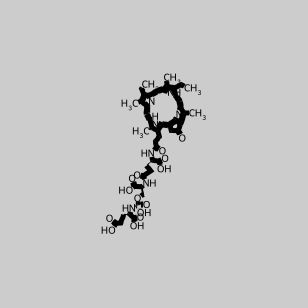 C=CC1=C(C)c2cc3[nH]c(c4c5nc(cc6[nH]c(cc1n2)c(C)c6CC)C(C)=C5C(=O)C4)C(CCC(=O)N[C@@H](CCC(=O)N[C@@H](COP(=O)(O)N[C@@H](CCC(=O)O)C(=O)O)C(=O)O)C(=O)O)[C@@H]3C